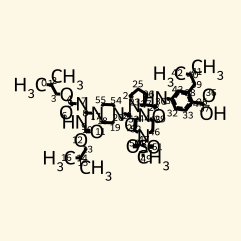 CC(C)COC(=O)N=C(NC(=O)OCC(C)C)N1CCN(C(=O)N2CCC[C@]2(C(=O)Nc2ccc(C(=O)O)c(CC(C)C)c2)N2CCN(S(C)(=O)=O)CC2)CC1